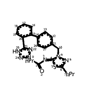 CCCC(=O)N=c1sc(CCC)nn1Cc1ccc(-c2ccccc2-c2nnn[nH]2)cc1